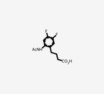 CC(=O)Nc1cc(F)c(F)cc1CCCC(=O)O